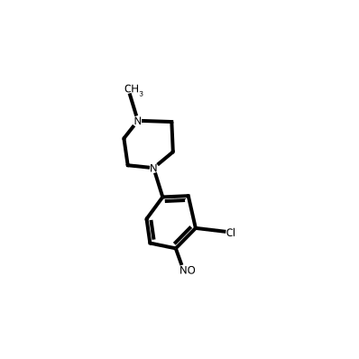 CN1CCN(c2ccc(N=O)c(Cl)c2)CC1